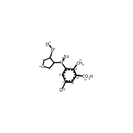 CCOC1COCC1N(CC)c1cc(Cl)cc(C(=O)O)c1C